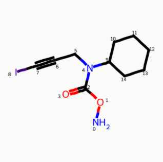 NOC(=O)N(CC#CI)C1CCCCC1